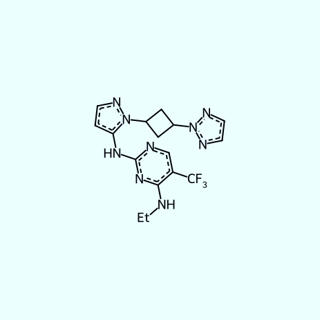 CCNc1nc(Nc2ccnn2C2CC(n3nccn3)C2)ncc1C(F)(F)F